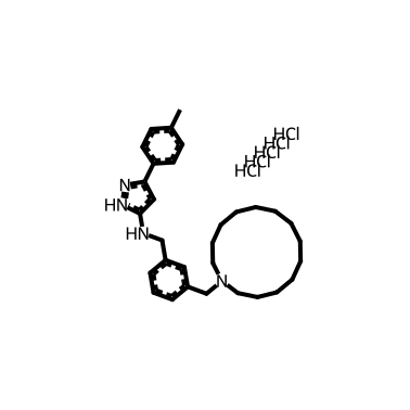 Cc1ccc(-c2cc(NCc3cccc(CN4CCCCCCCCCCCCC4)c3)[nH]n2)cc1.Cl.Cl.Cl.Cl.Cl